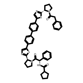 O=C(N[C@H](C(=O)N1CCC[C@H]1c1ncc(-c2ccc(-c3ccc(-c4cnc([C@@H]5CCCN5C(=O)Cc5ccccc5)s4)cc3)cc2)s1)c1ccccc1)C1CCCC1